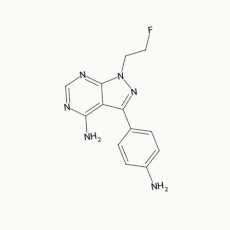 Nc1ccc(-c2nn(CCF)c3ncnc(N)c23)cc1